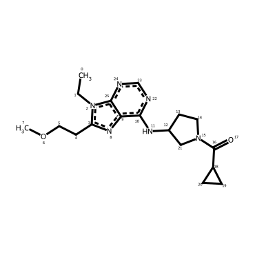 CCn1c(CCOC)nc2c(NC3CCN(C(=O)C4CC4)C3)ncnc21